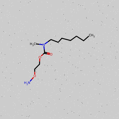 CCCCCCCN(C)C(=O)OCCON